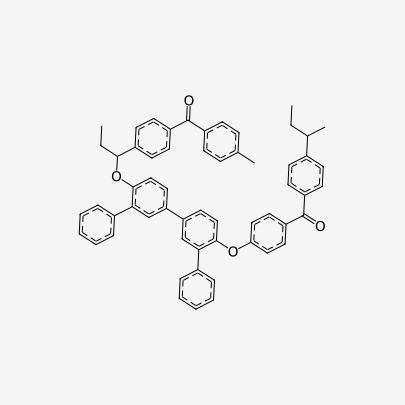 CCC(C)c1ccc(C(=O)c2ccc(Oc3ccc(-c4ccc(OC(CC)c5ccc(C(=O)c6ccc(C)cc6)cc5)c(-c5ccccc5)c4)cc3-c3ccccc3)cc2)cc1